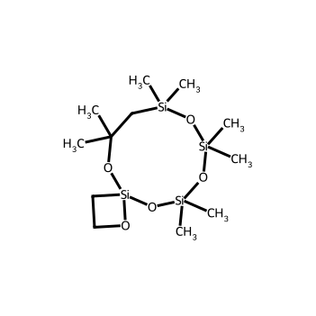 CC1(C)C[Si](C)(C)O[Si](C)(C)O[Si](C)(C)O[Si]2(CCO2)O1